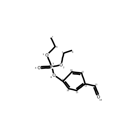 CCOP(=O)(OCC)Oc1ccc(C=O)cc1